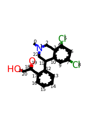 CN1Cc2c(Cl)cc(Cl)cc2C(c2ccccc2C(=O)CO)C1